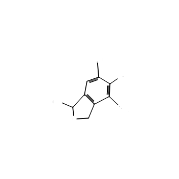 O=CC1OCc2c1cc(O)c(O)c2[N+](=O)[O-]